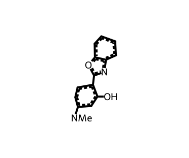 CNc1ccc(-c2nc3ccccc3o2)c(O)c1